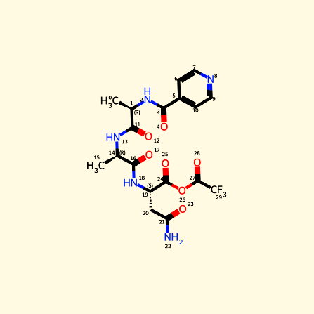 C[C@@H](NC(=O)c1ccncc1)C(=O)N[C@H](C)C(=O)N[C@@H](CC(N)=O)C(=O)OC(=O)C(F)(F)F